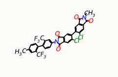 Cc1ccc(-c2ccc(N3C(=O)c4cc(Cl)c(-c5cc6c(cc5Cl)C(=O)N(C)C6=O)cc4C3=O)cc2C(F)(F)F)c(C(F)(F)F)c1